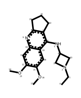 CCN1CC(Nc2c3c(nc4cc(OC)c(OC)cc24)CCC3)C1